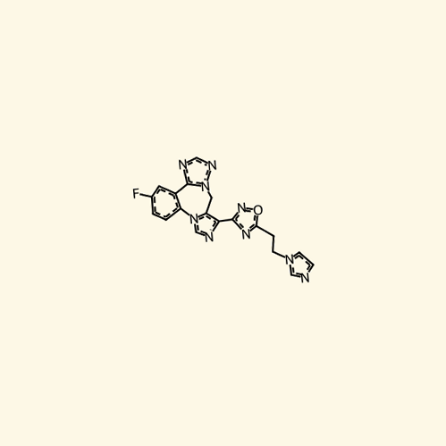 Fc1ccc2c(c1)-c1ncnn1Cc1c(-c3noc(CCn4ccnc4)n3)ncn1-2